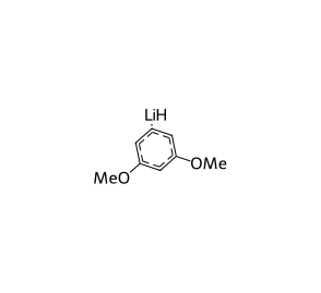 COc1c[c]cc(OC)c1.[LiH]